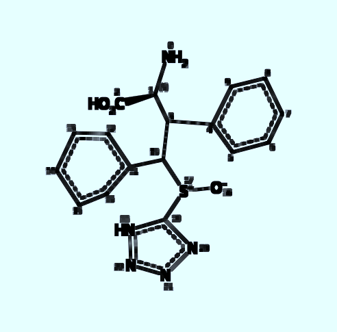 N[C@H](C(=O)O)C(c1ccccc1)C(c1ccccc1)[S+]([O-])c1nnn[nH]1